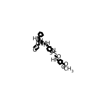 COC(=O)c1ccc(NC(=O)CSc2nc3cc(/C=N/Nc4nc(Nc5ccccc5)nc(N5CCOCC5)n4)ccc3s2)cc1